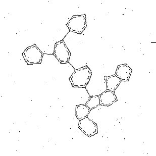 c1ccc(-c2cc(-c3ccccc3)cc(-c3ccc(-n4c5ccc6ccccc6c5c5ccc6c7ccccc7oc6c54)cc3)c2)cc1